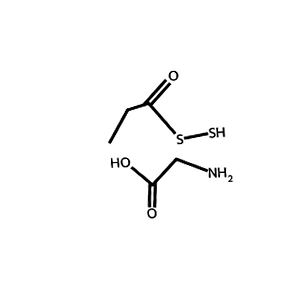 CCC(=O)SS.NCC(=O)O